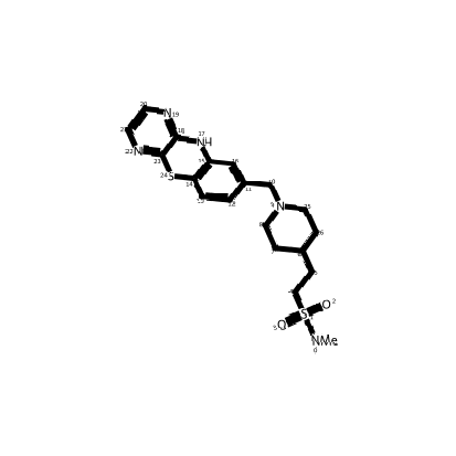 CNS(=O)(=O)CCC1CCN(Cc2ccc3c(c2)Nc2nccnc2S3)CC1